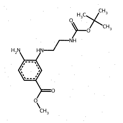 COC(=O)c1ccc(N)c(NCCNC(=O)OC(C)(C)C)c1